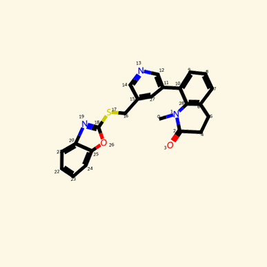 CN1C(=O)CCc2cccc(-c3cncc(CSc4nc5ccccc5o4)c3)c21